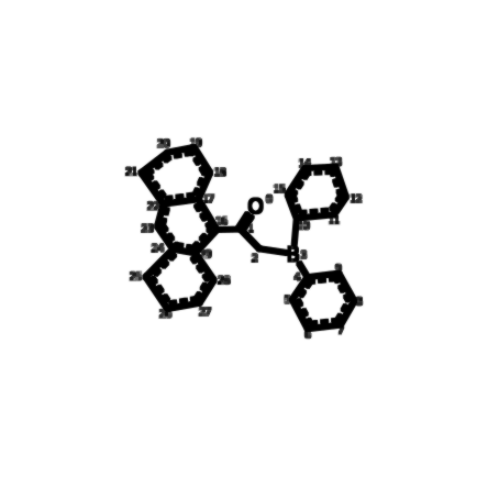 O=C(CB(c1ccccc1)c1ccccc1)c1c2ccccc2cc2ccccc12